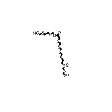 O=C(CSCSCSCSCC[S+]([O-])CSCS)OCSCCSCO